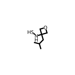 CC(C)CC1(NS)COC1